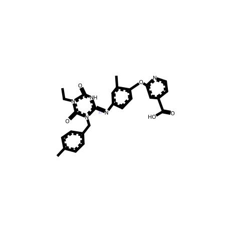 CCn1c(=O)[nH]/c(=N\c2ccc(Oc3cc(C(=O)O)ccn3)c(C)c2)n(Cc2ccc(C)cc2)c1=O